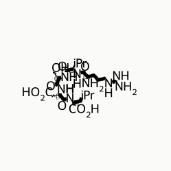 CC(C)C[C@H](NC(=O)[C@H](CC(=O)O)NC(=O)[C@H](CO)NC(=O)[C@@H](NC(=O)[C@@H](N)CCCNC(=N)N)C(C)C)C(=O)O